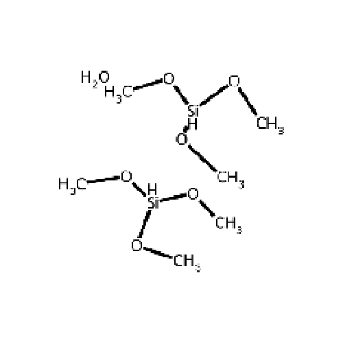 CO[SiH](OC)OC.CO[SiH](OC)OC.O